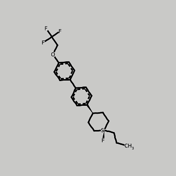 CCC[Si@]1(F)CC[C@@H](c2ccc(-c3ccc(OCC(F)(F)F)cc3)cc2)CC1